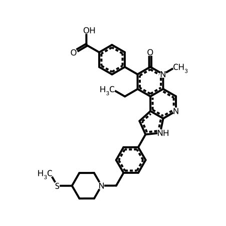 CCc1c(-c2ccc(C(=O)O)cc2)c(=O)n(C)c2cnc3[nH]c(-c4ccc(CN5CCC(SC)CC5)cc4)cc3c12